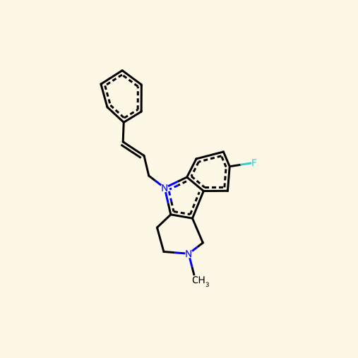 CN1CCc2c(c3cc(F)ccc3n2CC=Cc2ccccc2)C1